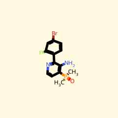 CP(C)(=O)c1ccnc(-c2ccc(Br)cc2F)c1N